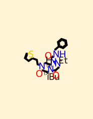 CCC(C)[C@H]1C(=O)N(CCC2CC=CS2)C[C@H]2N1C(=O)CN(CC)N2C(=O)NCc1ccccc1